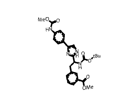 COC(=O)Nc1ccc(-c2c[nH]c(C(Cc3cccc(C(=O)OC)c3)NC(=O)OC(C)(C)C)n2)cc1